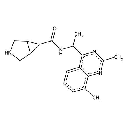 Cc1nc(C(C)NC(=O)C2C3CNCC32)c2cccc(C)c2n1